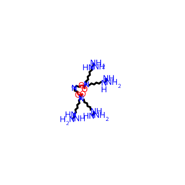 CN(CCOC(=O)N(CCCCCCNC(=N)N)CCCCCCNC(=N)N)CCOC(=O)N(CCCCCCNC(=N)N)CCCCCCNC(=N)N